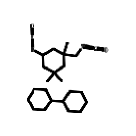 C1CCC(C2CCCCC2)CC1.CC1(C)CC(N=C=O)CC(C)(CN=C=O)C1